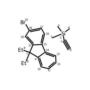 C#C[Si](C)(C)C.CCC1(CC)c2ccccc2-c2ccc(Br)cc21